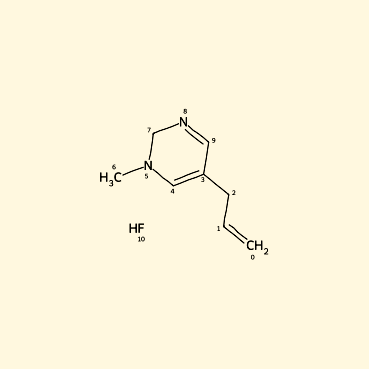 C=CCC1=CN(C)CN=C1.F